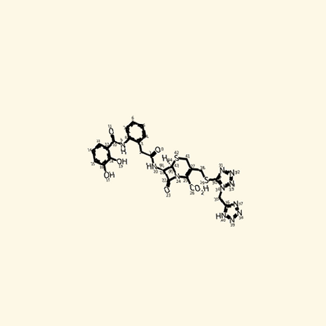 O=C(Cc1ccccc1NC(=O)c1cccc(O)c1O)N[C@@H]1C(=O)N2C(C(=O)O)=C(CSc3nnnn3Cc3nnn[nH]3)CS[C@H]12